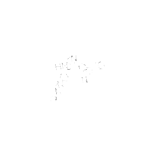 N#Cc1cc(-c2nccc3[nH]c(-c4ccc(N5CCN(C6COC6)CC5)cc4)cc23)ccc1OC1CCOCC1